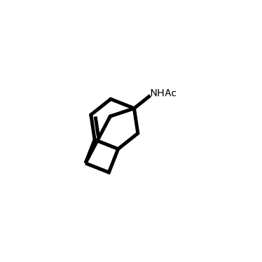 CC(=O)NC12CC=C3C(CC3C1)C2